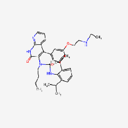 CCCCN(C(=O)Nc1c(C(C)C)cccc1C(C)C)c1c(-c2cccc(OCCNCC)c2)c2cccnc2[nH]c1=O